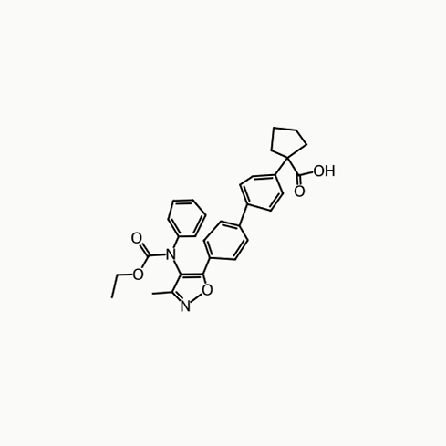 CCOC(=O)N(c1ccccc1)c1c(C)noc1-c1ccc(-c2ccc(C3(C(=O)O)CCCC3)cc2)cc1